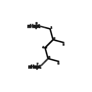 CCCCCCCCC(C)[CH]C(C)CCCCCCC